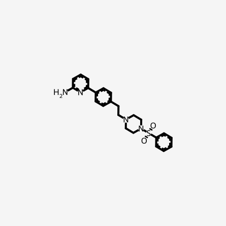 Nc1cccc(-c2ccc(CCN3CCN(S(=O)(=O)c4ccccc4)CC3)cc2)n1